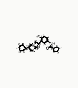 O=C(Nc1ccc(F)c(-c2cn3cc(-c4ccccc4)cnc3n2)c1)C1CCCC1